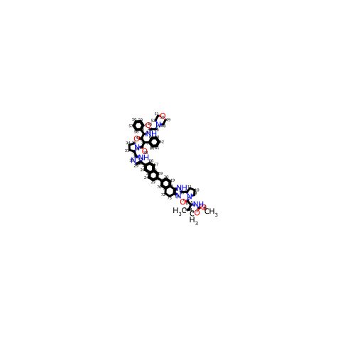 COC(=O)NC(C(=O)N1CCCC1c1nc2c([nH]1)-c1ccc(-c3ccc4cc(-c5cnc(C6CCCN6C(=O)C(C(=O)C(NC(=O)CN6CCOCC6)c6ccccc6)c6ccccc6)[nH]5)ccc4c3)cc1CC2)C(C)C